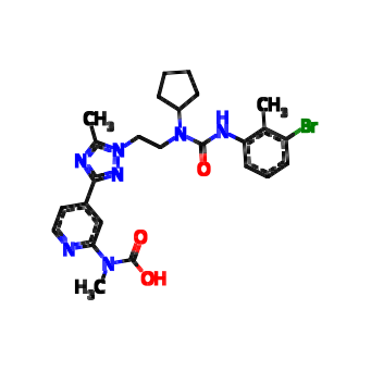 Cc1c(Br)cccc1NC(=O)N(CCn1nc(-c2ccnc(N(C)C(=O)O)c2)nc1C)C1CCCC1